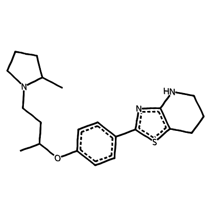 CC(CCN1CCCC1C)Oc1ccc(-c2nc3c(s2)CCCN3)cc1